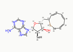 Nc1ncnc2c1ncn2[C@@H]1O[C@H](CC2C=CC=CC=C[Se]S2)[C@@H](O)[C@H]1[SeH]